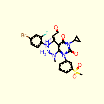 CN(N)c1c(/C(=C\C=O)Nc2ccc(Br)cc2F)c(=O)n(C2CC2)c(=O)n1-c1cccc(S(C)(=O)=O)c1